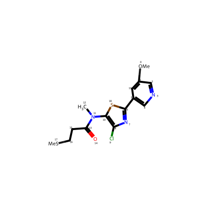 COc1cncc(-c2nc(Cl)c(N(C)C(=O)CCSC)s2)c1